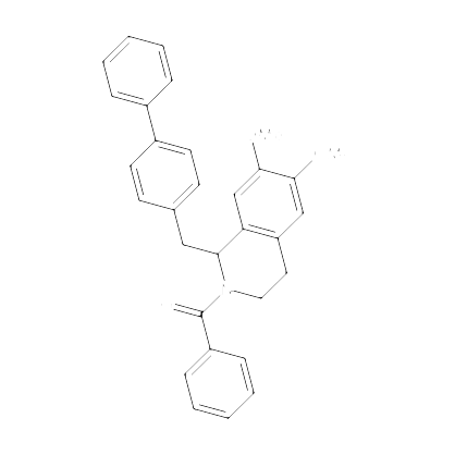 COc1cc2c(cc1OC)C(Cc1ccc(-c3ccccc3)cc1)N(C(=O)c1ccccc1)CC2